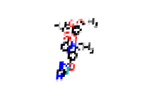 COc1ccc(OC(=O)c2cccc(-c3cc(C(=O)Nc4ccncc4F)ccc3C(C)N)c2)cc1OC